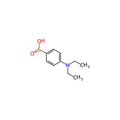 CCN(CC)c1ccc(S(=O)O)cc1